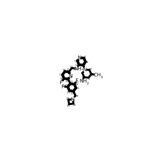 CC1CC(N)CN(c2ccncc2NCc2ccc(F)c(-c3c(F)cc(CN4CCC4)cc3F)n2)C1